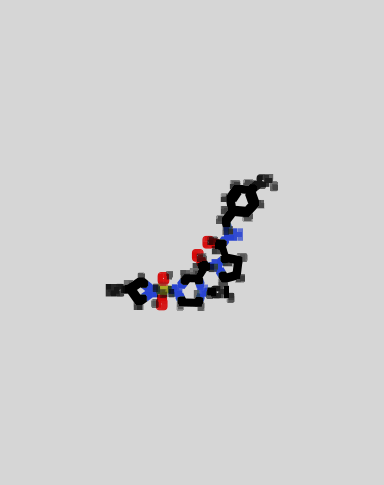 CN1CCN(S(=O)(=O)N2CC(C#N)C2)C[C@H]1C(=O)N1CCC[C@@H]1C(=O)NCc1ccc(C(F)(F)F)cc1